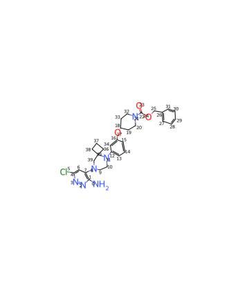 Nc1nnc(Cl)cc1N1CCN(c2cccc(OC3CCN(C(=O)OCc4ccccc4)CC3)c2)C2(CCC2)C1